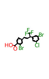 O=C(O)c1ccc(C=CC(c2cc(Cl)cc(Br)c2)C(F)(F)F)cc1Br